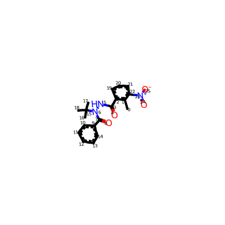 Cc1c(C(=O)NN(C(=O)c2ccccc2)C(C)(C)C)cccc1[N+](=O)[O-]